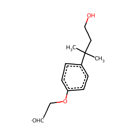 CC(C)(CCO)c1ccc(OC[C]=O)cc1